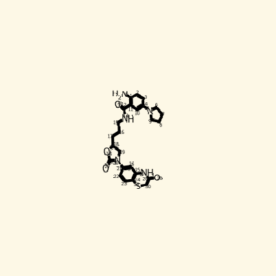 Nc1ccc(N2CCCC2)cc1C(=O)NCCCC1CN(c2ccc3c(c2)NC(=O)CS3)C(=O)O1